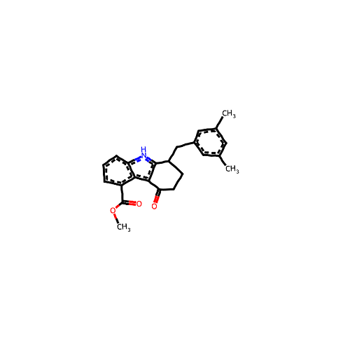 COC(=O)c1cccc2[nH]c3c(c12)C(=O)CCC3Cc1cc(C)cc(C)c1